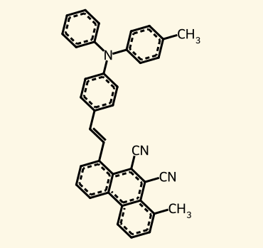 Cc1ccc(N(c2ccccc2)c2ccc(C=Cc3cccc4c3c(C#N)c(C#N)c3c(C)cccc34)cc2)cc1